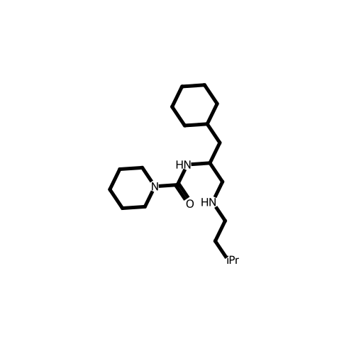 CC(C)CCNCC(CC1CCCCC1)NC(=O)N1CCCCC1